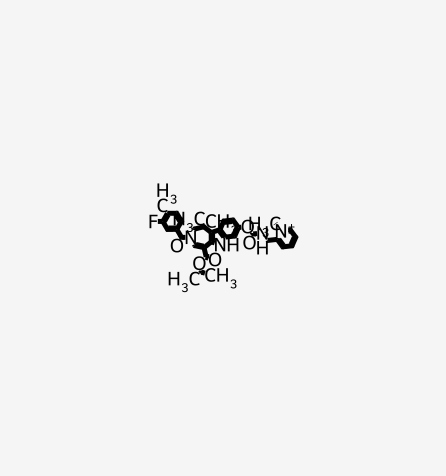 Cc1ccc(C(=O)N2C=C(C(=O)OC(C)C)c3[nH]c4cc(OC(=O)NCc5cccc[n+]5C)ccc4c3C(C)(C)C2)cc1F